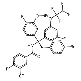 CC(C)Oc1cc([C@@](Cc2ccc(Br)cc2)(NC(=O)c2ccc(F)c(C(F)(F)F)c2)c2cc(F)cc(OC(F)(F)C(F)F)c2)ccc1F